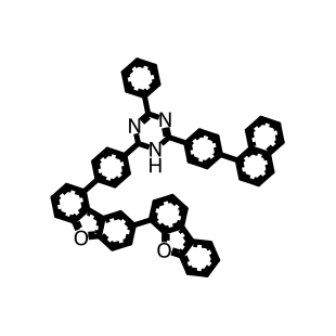 c1ccc(C2=NC(c3ccc(-c4cccc5oc6ccc(-c7cccc8c7oc7ccccc78)cc6c45)cc3)NC(c3ccc(-c4cccc5ccccc45)cc3)=N2)cc1